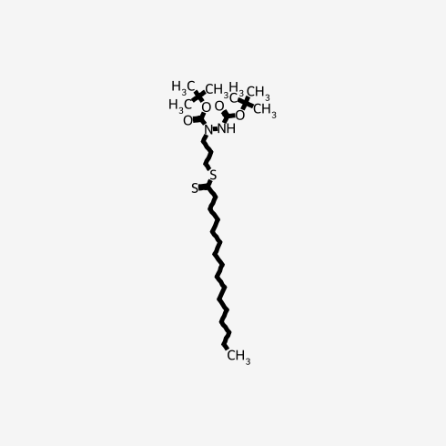 CCCCCCCCCCCCCCCC(=S)SCCCN(NC(=O)OC(C)(C)C)C(=O)OC(C)(C)C